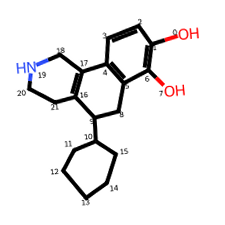 Oc1ccc2c(c1O)CC(C1CCCCC1)C1=C2CNCC1